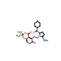 CSc1ccc(C(=O)c2ccc(F)cc2)n1CCC1=C2C(=O)OC(C)(C)OC2=CCC1=O